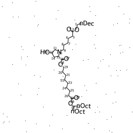 CCCCCCCCCCCOC(=O)CCCCCN1CC(O)C[C@H]1C(=O)OCCCCCCCCC(=O)OC(CCCCCCCC)CCCCCCCC